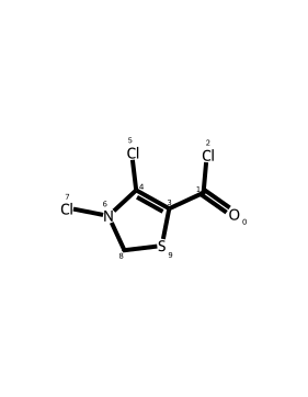 O=C(Cl)C1=C(Cl)N(Cl)CS1